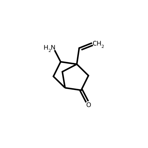 C=CC12CC(=O)C(CC1N)C2